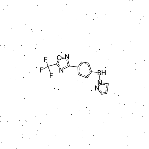 FC(F)(F)c1nc(-c2ccc(Bn3cccn3)cc2)no1